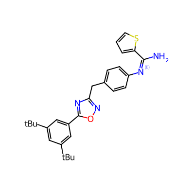 CC(C)(C)c1cc(-c2nc(Cc3ccc(/N=C(/N)c4cccs4)cc3)no2)cc(C(C)(C)C)c1